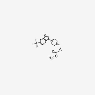 COC(=O)C1CC1CN1CCN(c2csc3cc(C(F)(F)F)ccc23)CC1